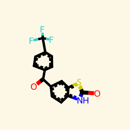 O=C(c1ccc(C(F)(F)F)cc1)c1ccc2[nH]c(=O)sc2c1